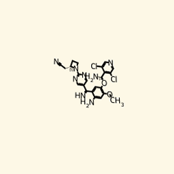 COc1cc(N)c(C(=N)c2cnc(N3CC[C@H]3CC#N)nc2)cc1O[C@H](N)c1c(Cl)cncc1Cl